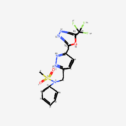 CS(=O)(=O)N(Cc1ccc(-c2nnc(C(F)(F)F)o2)nn1)c1ccccc1